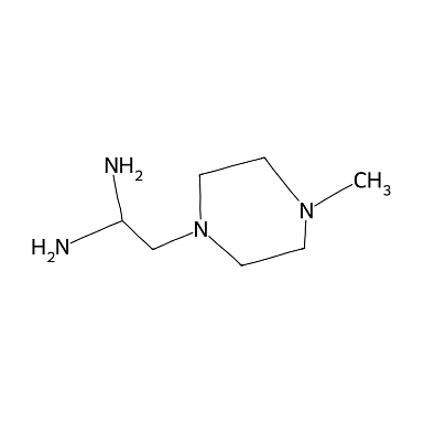 CN1CCN(CC(N)N)CC1